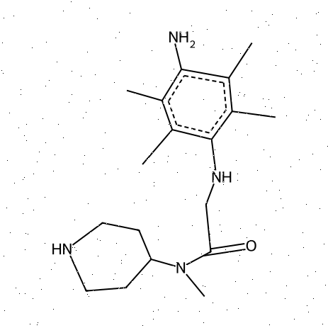 Cc1c(C)c(NCC(=O)N(C)C2CCNCC2)c(C)c(C)c1N